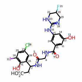 O=C(O)CC(NC(=O)CNC(=O)c1cc(O)cc(NC2=NCC(F)CN2)c1)c1cc(Cl)cc(I)c1O